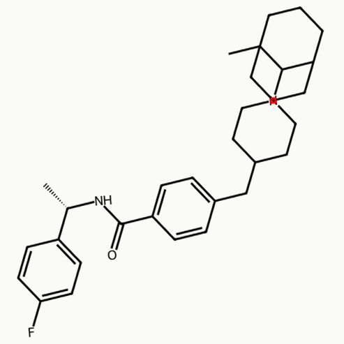 C[C@H](NC(=O)c1ccc(CC2CCN(C3C4CCCC3(C)CCC4)CC2)cc1)c1ccc(F)cc1